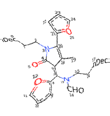 CCCCCCCCCCCCN1C(=O)/C(=C(\c2ccco2)N(C=O)CCCCCCCCCCCC)C(C)=C1c1ccco1